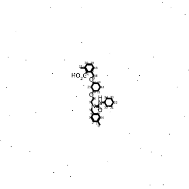 Cc1ccc(CN(CCO[C@H]2CCCC(OCc3cccc(C)c3C(=O)O)C2)C(=O)NC2CCCCC2)cc1